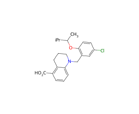 CC(C)C(C)Oc1ccc(Cl)cc1CN1CCCc2c(C(=O)O)cccc21